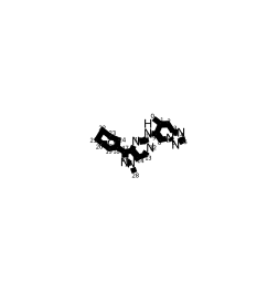 Cc1cc2ncnn2cc1Nc1ncc2c(n1)c(C1CC3CCC(C1)O3)nn2C